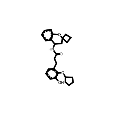 O=C(CCc1cccc(O)c1OC1CCCC1)NC1CC2(CCC2)Oc2ccccc21